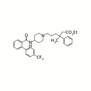 CCOC(=O)CC(C)(CCCN1CCC(NC(=O)c2ccccc2-c2ccc(C(F)(F)F)cc2)CC1)c1ccccc1